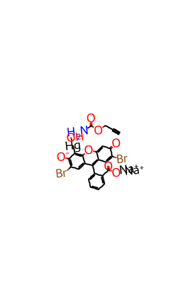 C#CCOC(N)=O.O=C([O-])c1ccccc1-c1c2cc(Br)c(=O)cc-2oc2[c]([Hg][OH])c([O-])c(Br)cc12.[Na+].[Na+]